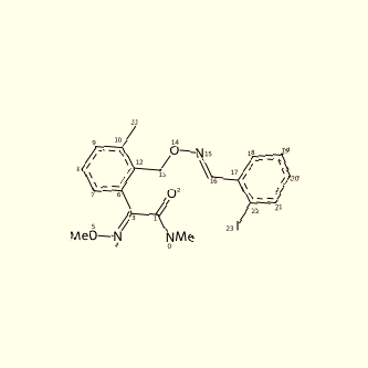 CNC(=O)/C(=N/OC)c1cccc(C)c1CO/N=C/c1ccccc1I